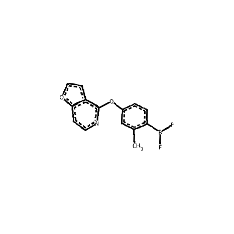 Cc1cc(Oc2nccc3occc23)ccc1B(F)F